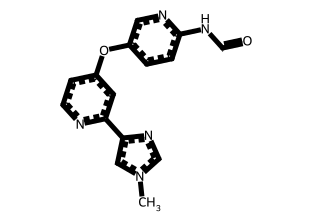 Cn1cnc(-c2cc(Oc3ccc(N[C]=O)nc3)ccn2)c1